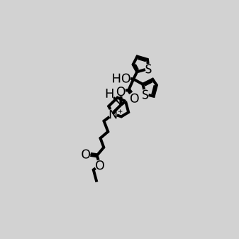 CCOC(=O)CCCC[N+]12CCC(CC1)[C@@H](OC(=O)C(O)(c1cccs1)c1cccs1)C2